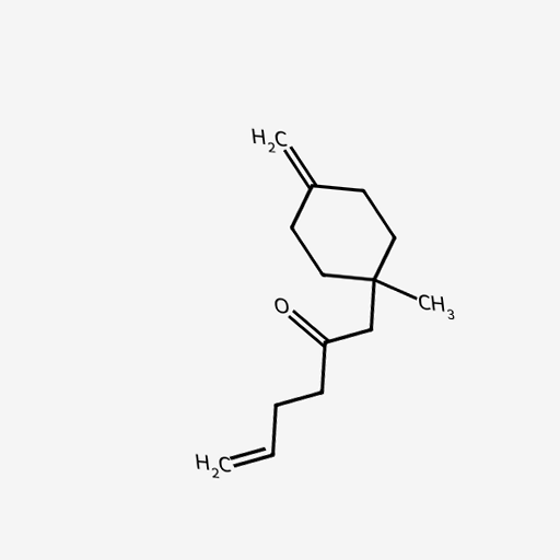 C=CCCC(=O)CC1(C)CCC(=C)CC1